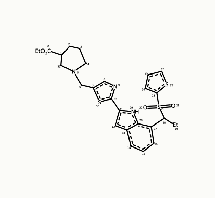 CCOC(=O)C1CCCN(Cc2cnc(-c3cc4cccc(C(CC)S(=O)(=O)c5cccs5)c4[nH]3)s2)C1